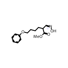 COC(=O)C(/C=N\O)CCCCOc1ccccc1